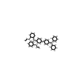 C=CCc1ccccc1N(c1ccc(-c2ccc(N(c3ccccc3)c3ccccc3)cc2)cc1)c1ccccc1CC=C